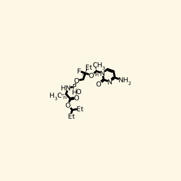 CCC(CC)OC(=O)[C@H](C)N[PH](=O)OC[C@](F)(CC)O[C@H](C)n1ccc(N)nc1=O